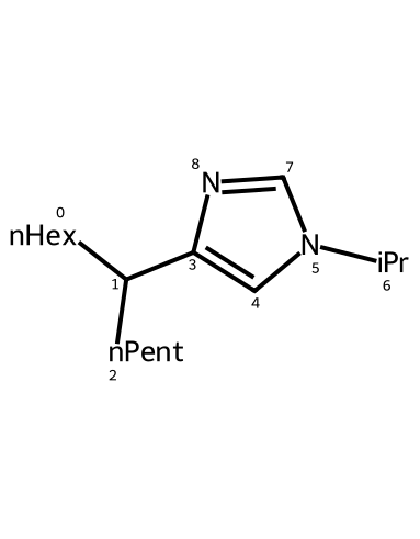 CCCCCCC(CCCCC)c1cn(C(C)C)cn1